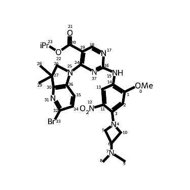 COc1cc(N2CC(N(C)C)C2)c([N+](=O)[O-])cc1Nc1ncc(C(=O)OC(C)C)c(N2CC(C)(C)c3nc(Br)ccc32)n1